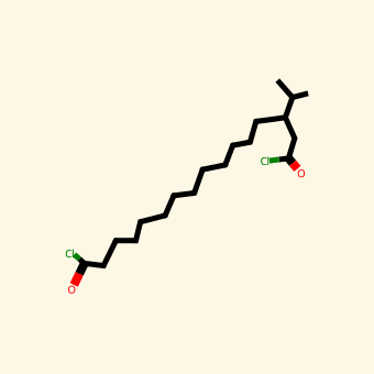 CC(C)C(CCCCCCCCCCCCC(=O)Cl)CC(=O)Cl